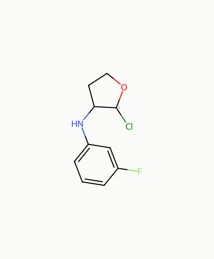 Fc1cccc(NC2CCO[C]2Cl)c1